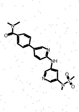 CN(C)C(=O)c1ccc(-c2ccc(Nc3cncc(N(C)S(C)(=O)=O)c3)nc2)cc1